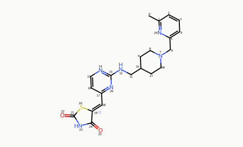 Cc1cccc(CN2CCC(CNc3nccc(/C=C4\SC(=O)NC4=O)n3)CC2)n1